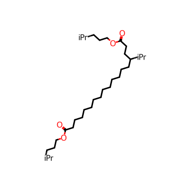 CC(C)CCCOC(=O)CCCCCCCCCCCCCC(CCC(=O)OCCCC(C)C)C(C)C